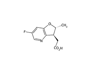 C[C@H]1Oc2cc(F)cnc2[C@@H]1CC(=O)O